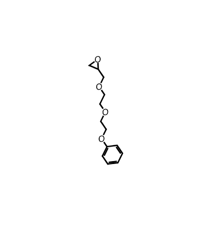 c1ccc(OCCOCCOCC2CO2)cc1